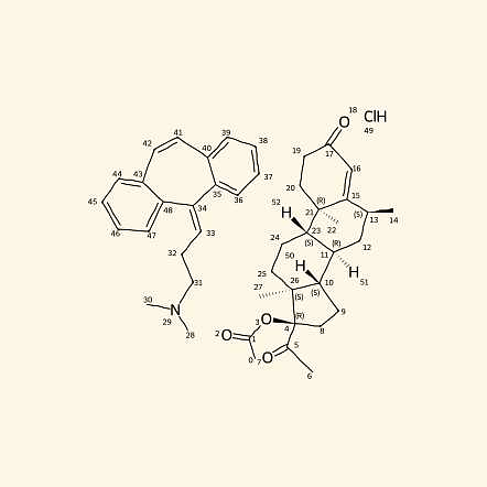 CC(=O)O[C@]1(C(C)=O)CC[C@H]2[C@@H]3C[C@H](C)C4=CC(=O)CC[C@]4(C)[C@H]3CC[C@@]21C.CN(C)CCC=C1c2ccccc2C=Cc2ccccc21.Cl